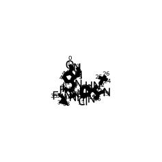 COc1nccc2c([C@H](Nc3cc(Cl)c4ncc(C#N)c(NCC(C)(C)C)c4c3)C3=C(I)N(C4(C(F)F)CC4)NN3)cccc12